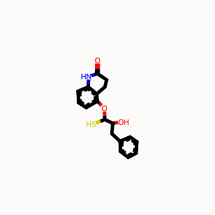 O=C1CCc2c(cccc2OC(S)C(O)Cc2ccccc2)N1